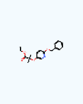 CCOC(=O)C(C)(C)Oc1ccc(OCc2ccccc2)nc1